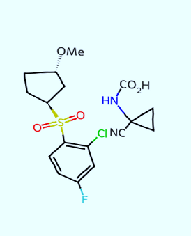 CO[C@H]1CC[C@H](S(=O)(=O)c2ccc(F)cc2Cl)C1.N#CC1(NC(=O)O)CC1